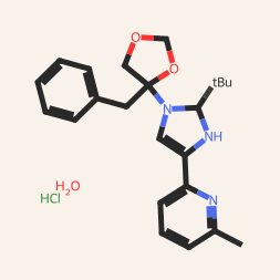 Cc1cccc(C2=CN(C3(Cc4ccccc4)COCO3)C(C(C)(C)C)N2)n1.Cl.O